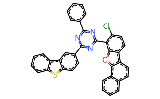 Clc1ccc2c(oc3c4ccccc4ccc23)c1-c1nc(-c2ccccc2)nc(-c2ccc3sc4ccccc4c3c2)n1